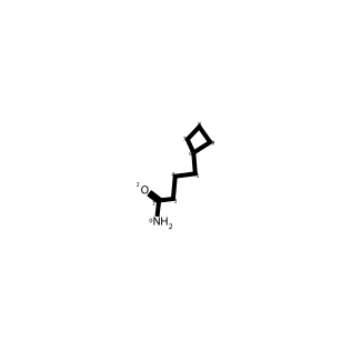 NC(=O)CCCC1CCC1